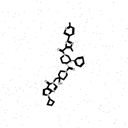 Cc1ccc(-c2nc(C)c(C(=O)N3CC[C@@H](C(=O)N4CCC(O)(Cn5cnc6c(ccn6C6CCC6)c5=O)CC4)[C@H](c4ccccc4)C3)s2)cn1